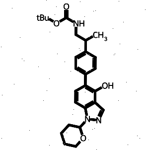 CC(CNC(=O)OC(C)(C)C)c1ccc(-c2ccc3c(cnn3C3CCCCO3)c2O)cc1